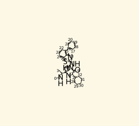 CN[C@@H](C)C(=O)N[C@H](C(=O)NNc1nc2c(-c3ccccc3)cccc2s1)C1CCCCC1